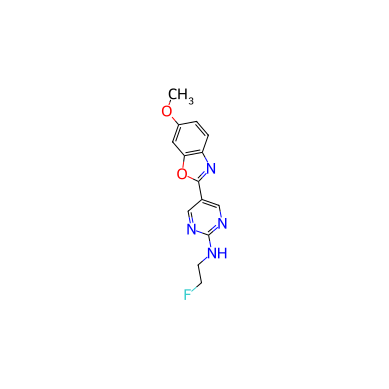 COc1ccc2nc(-c3cnc(NCCF)nc3)oc2c1